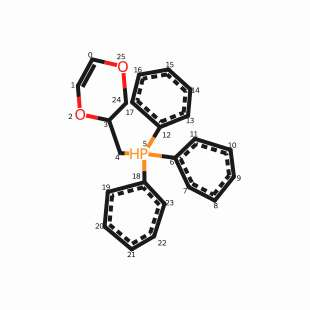 C1=COC(C[PH](c2ccccc2)(c2ccccc2)c2ccccc2)CO1